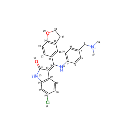 CN(C)Cc1ccc(NC(=C2C(=O)Nc3cc(Cl)ccc32)c2ccc3c(c2)CCO3)cc1